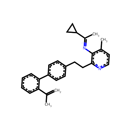 C=C(C)c1ccccc1-c1ccc(CCc2nccc(C)c2/N=C(\C)C2CC2)cc1